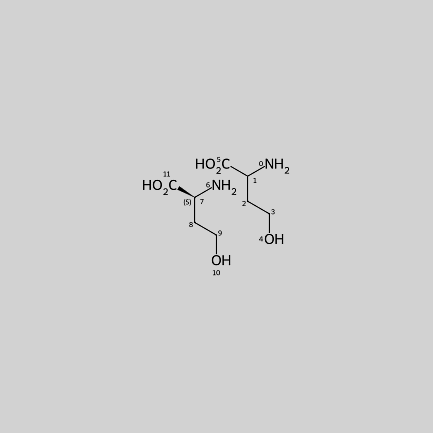 NC(CCO)C(=O)O.N[C@@H](CCO)C(=O)O